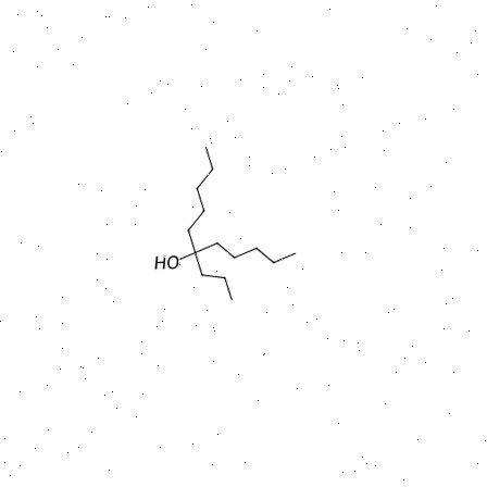 CCCCCC(O)(CCC)CCCCC